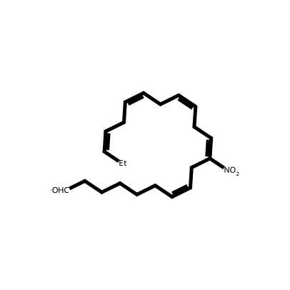 CC/C=C\C/C=C\C/C=C\C/C=C(\C/C=C\CCCCC[C]=O)[N+](=O)[O-]